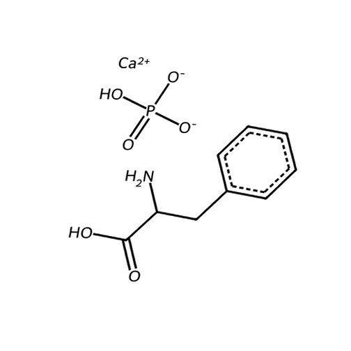 NC(Cc1ccccc1)C(=O)O.O=P([O-])([O-])O.[Ca+2]